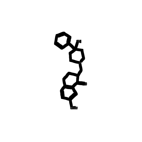 COc1ccc2c(c1)C(=O)C(CN1CCC(O)(c3ccccc3)CC1)CC2